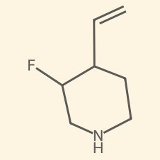 C=CC1CCNCC1F